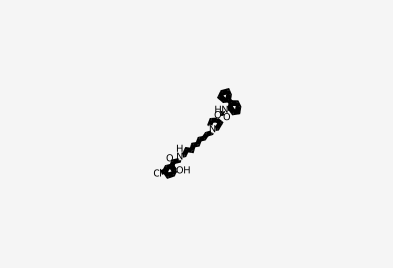 O=C(Nc1ccccc1-c1ccccc1)OC1CCN(CCCCCCCCCNCC(=O)c2cc(Cl)ccc2O)CC1